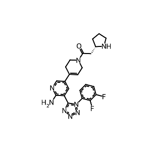 Nc1ncc(C2=CCN(C(=O)C[C@@H]3CCCN3)CC2)cc1-c1nnnn1-c1cccc(F)c1F